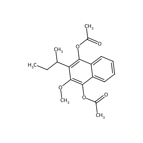 CCC(C)c1c(OC)c(OC(C)=O)c2ccccc2c1OC(C)=O